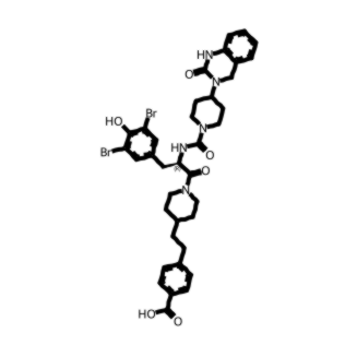 O=C(O)c1ccc(CCC2CCN(C(=O)[C@@H](Cc3cc(Br)c(O)c(Br)c3)NC(=O)N3CCC(N4Cc5ccccc5NC4=O)CC3)CC2)cc1